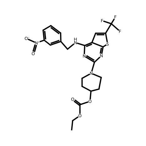 CCOC(=O)OC1CCN(c2nc(NCc3cccc([N+](=O)[O-])c3)c3cc(C(F)(F)F)sc3n2)CC1